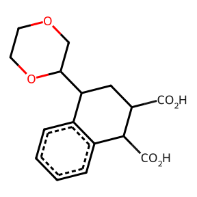 O=C(O)C1CC(C2COCCO2)c2ccccc2C1C(=O)O